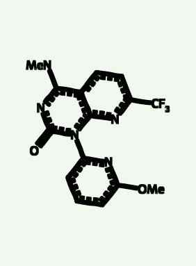 CNc1nc(=O)n(-c2cccc(OC)n2)c2nc(C(F)(F)F)ccc12